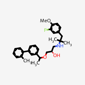 COc1ccc(CC(C)(C)NC[C@@H](O)COC(C)c2cccc(-c3ccccc3C)c2)cc1F